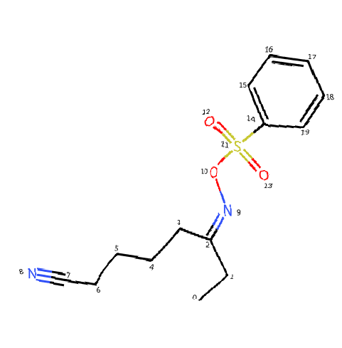 CCC(CCCCC#N)=NOS(=O)(=O)c1ccccc1